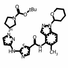 Cc1ccc2c(cnn2C2CCCCO2)c1NC(=O)c1cnc(Nc2ccn([C@@H]3CCN(C(=O)OC(C)(C)C)C3)n2)s1